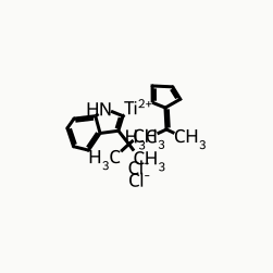 CC(C)=C1C=CC=[C]1[Ti+2][c]1[nH]c2ccccc2c1C(C)(C)C.[Cl-].[Cl-]